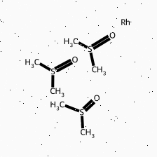 CS(C)=O.CS(C)=O.CS(C)=O.[Rh]